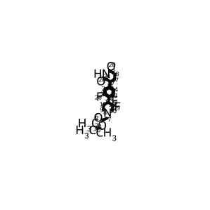 CC(C)(C)OC(=O)CN1CCC(c2ccc(C3CCC(=O)NC3=O)cc2F)C(F)(F)C1